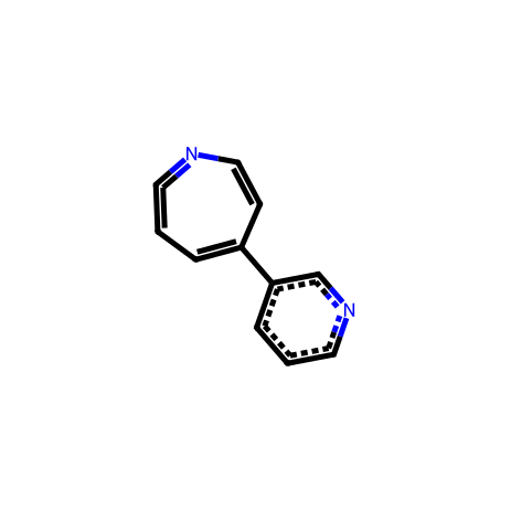 C1=CC=C(c2cccnc2)C=CN=1